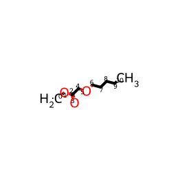 [CH2]OC(=O)COCCCCC